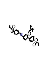 C=CC(=O)Oc1ccc(/C=C/c2ccc(-c3ccc(OC(=O)C=C)cc3)c(OC=C(F)F)c2)cc1